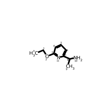 CCOc1cccc(C(C)N)n1